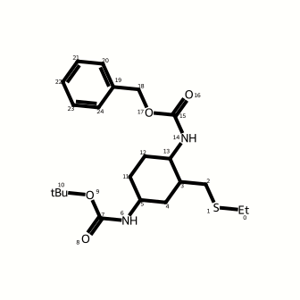 CCSCC1CC(NC(=O)OC(C)(C)C)CCC1NC(=O)OCc1ccccc1